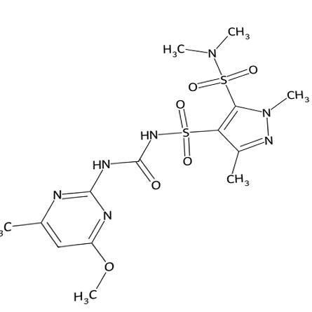 COc1cc(C)nc(NC(=O)NS(=O)(=O)c2c(C)nn(C)c2S(=O)(=O)N(C)C)n1